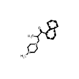 CC(CN1CCN(C)CC1)C(=O)c1cccc2ccccc12